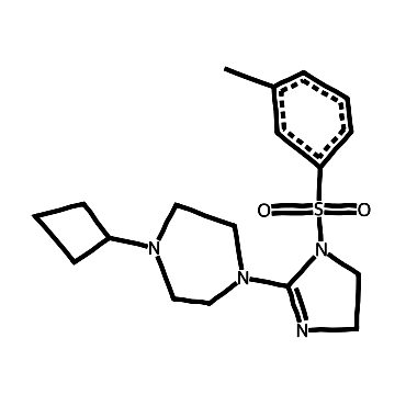 Cc1cccc(S(=O)(=O)N2CCN=C2N2CCN(C3CCC3)CC2)c1